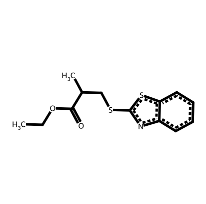 CCOC(=O)C(C)CSc1nc2ccccc2s1